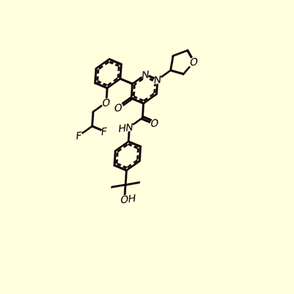 CC(C)(O)c1ccc(NC(=O)c2cn(C3CCOC3)nc(-c3ccccc3OCC(F)F)c2=O)cc1